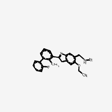 CCNCc1cc2c(cc1OCC#N)CC(c1cccc(-c3ccccc3F)c1C)=N2